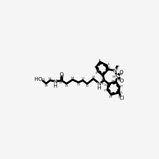 CN1c2ccccc2C(NCCCCCCC(=O)NCCO)c2ccc(Cl)cc2S1(=O)=O